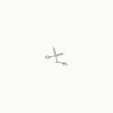 O=[N+]([O-])OS(=O)(=O)[N+](=O)[O-]